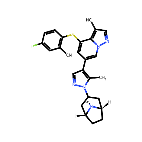 CC(=O)N1[C@@H]2CC[C@H]1CC(n1ncc(-c3cc(Sc4ccc(F)cc4C#N)c4c(C#N)cnn4c3)c1C)C2